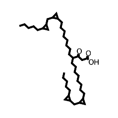 CCCCCC1CC1CC1CC1CCCCCCCCC(CCCCCCCCC1CC1CC1CC1CCCCC)C(=O)CC(=O)O